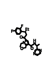 CC[C@@H](CC(=O)c1cc(C(=O)NC(C)c2cnccn2)c2n1CCOC2)c1ccc(F)cc1F